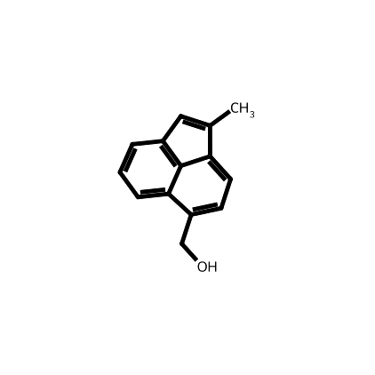 CC1=Cc2cccc3c(CO)ccc1c23